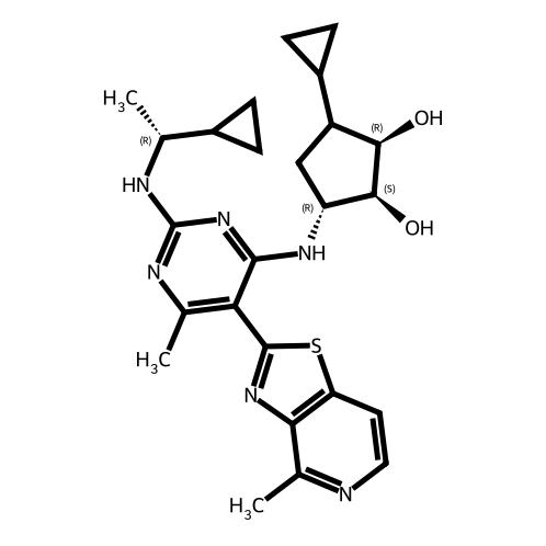 Cc1nc(N[C@H](C)C2CC2)nc(N[C@@H]2CC(C3CC3)[C@@H](O)[C@H]2O)c1-c1nc2c(C)nccc2s1